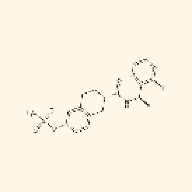 C[C@@H](NC(=O)[C@H]1CCc2cc(OS(=O)(=O)C(F)(F)F)ccc2C1)c1ccccc1F